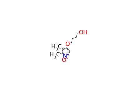 Cc1c(OCCCCO)cc[n+]([O-])c1C